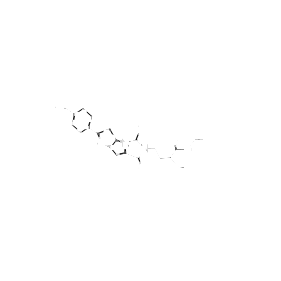 CCOC(=O)C(CC)CCN1C(=O)c2cc3oc(-c4ccc(Cl)cc4)cc3n2C1=S